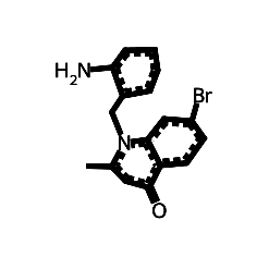 Cc1cc(=O)c2ccc(Br)cc2n1Cc1ccccc1N